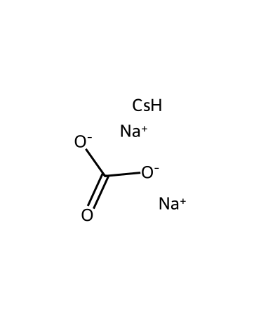 O=C([O-])[O-].[CsH].[Na+].[Na+]